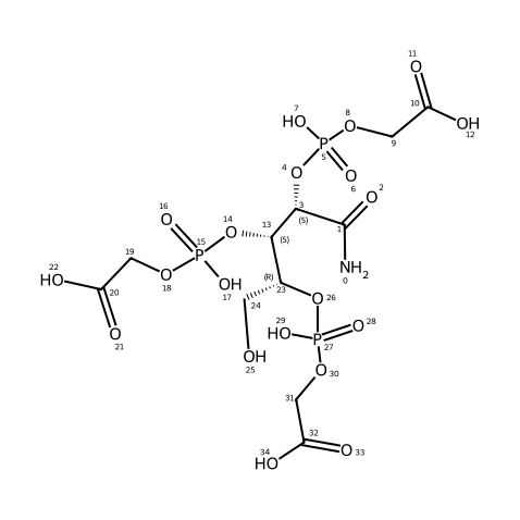 NC(=O)[C@@H](OP(=O)(O)OCC(=O)O)[C@@H](OP(=O)(O)OCC(=O)O)[C@@H](CO)OP(=O)(O)OCC(=O)O